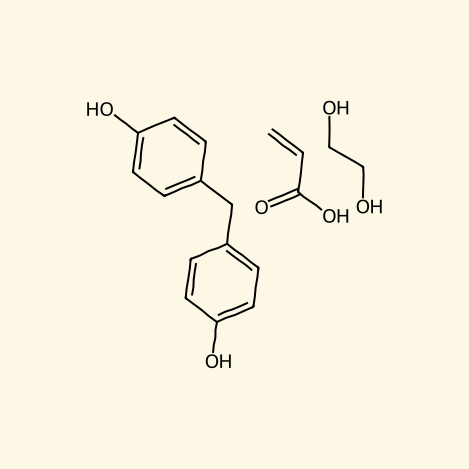 C=CC(=O)O.OCCO.Oc1ccc(Cc2ccc(O)cc2)cc1